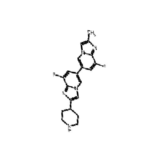 Cc1cn2cc(-c3cc(F)c4nc(C5CCNCC5)cn4c3)cc(F)c2n1